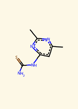 Cc1cc(NC(N)=S)nc(C)n1